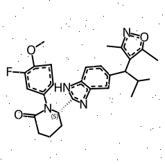 COc1ccc(N2C(=O)CCC[C@H]2c2nc3cc(C(c4c(C)noc4C)C(C)C)ccc3[nH]2)cc1F